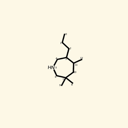 CCCC1CNCC(C)(C)CC1C